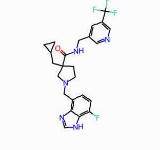 O=C(NCc1cncc(C(F)(F)F)c1)C1(CC2CC2)CCN(Cc2ccc(F)c3[nH]cnc23)C1